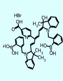 Br.CC1(C)/C(=C/C=C(/C=C/C2N(Cc3ccccc3B(O)O)c3ccccc3C2(C)C)c2ccc(C(=O)O)cn2)N(Cc2ccccc2B(O)O)c2ccccc21